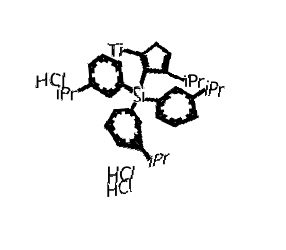 CC(C)C1=CC[C]([Ti])=C1[Si](c1cccc(C(C)C)c1)(c1cccc(C(C)C)c1)c1cccc(C(C)C)c1.Cl.Cl.Cl